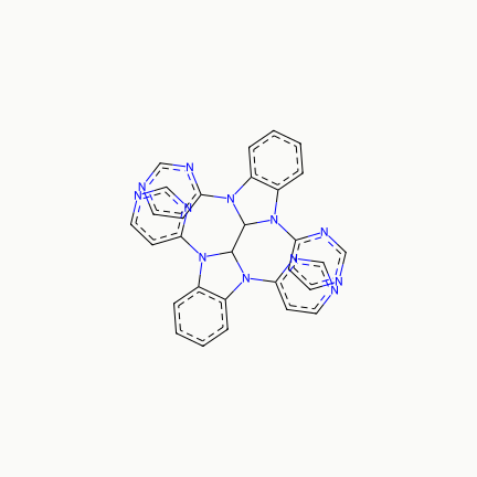 c1ccc2c(c1)N(c1ccncn1)C(C1N(c3ccncn3)c3ccccc3N1c1ccncn1)N2c1ccncn1